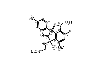 CCOC(=O)CNC(c1nc2cc(C#N)ccc2[nH]1)(c1c(OC)cc(C)c2c1ccn2C(=O)O)C(F)(F)F